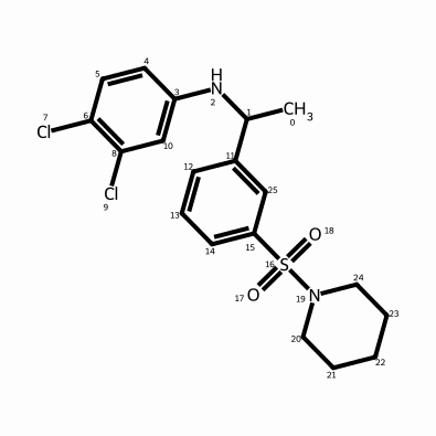 CC(Nc1ccc(Cl)c(Cl)c1)c1cccc(S(=O)(=O)N2CCCCC2)c1